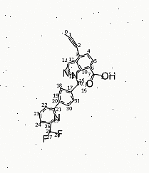 CC#Cc1ccc(C(=O)O)c2c1cnn2[C@H](C)c1ccc(-c2cccc(C(F)F)n2)cc1